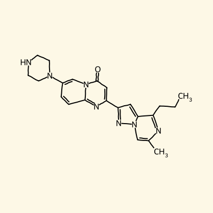 CCCc1nc(C)cn2nc(-c3cc(=O)n4cc(N5CCNCC5)ccc4n3)cc12